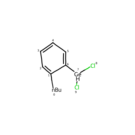 CCCCc1cccc[c]1[GeH]([Cl])[Cl]